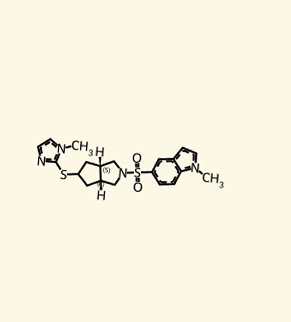 Cn1ccnc1SC1C[C@@H]2CN(S(=O)(=O)c3ccc4c(ccn4C)c3)C[C@@H]2C1